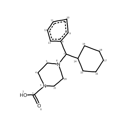 O=C(O)N1CCN(C(c2ccccc2)C2CCCCC2)CC1